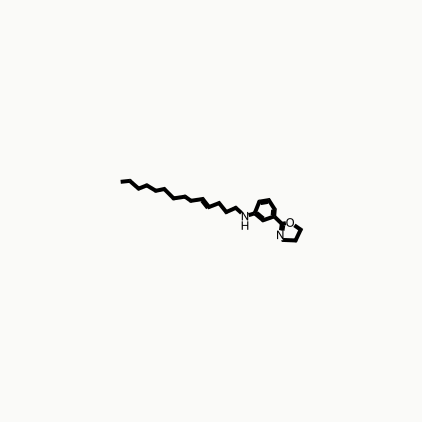 CCCCCCCCCC=CCCCNc1cccc(C2=NCCCO2)c1